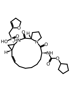 O=C(N[C@H]1CCCCC/C=C\[C@@H]2C[C@@]2(P(=O)(O)CC2=CCCO2)NC(=O)[C@@H]2CCCN2C1=O)OC1CCCC1